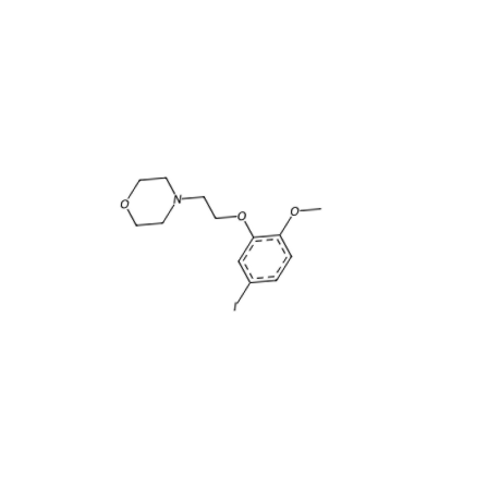 COc1ccc(I)cc1OCCN1CCOCC1